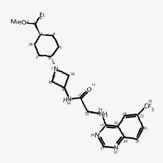 CCC(OC)[C@H]1CC[C@H](N2CC(NC(=O)CNc3ncnc4ccc(C(F)(F)F)cc34)C2)CC1